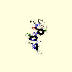 Cc1cc(Nc2cc(Nc3ccc(F)cc3C(=O)N(C)N(C)C)c(Cl)cn2)n(C(C)C)n1